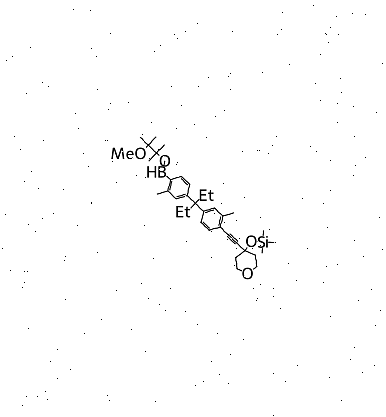 CCC(CC)(c1ccc(BOC(C)(C)C(C)(C)OC)c(C)c1)c1ccc(C#CC2(O[Si](C)(C)C)CCOCC2)c(C)c1